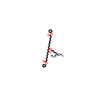 CN(C)CCCC(=O)OC(CCCCCCCCC(=O)OC1CCCC1)CCCCCCCCC(=O)OC1CCCC1